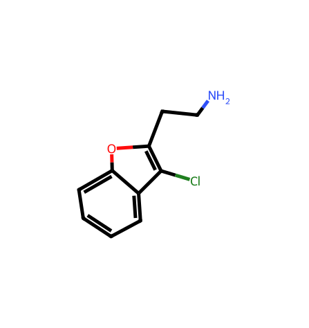 NCCc1oc2ccccc2c1Cl